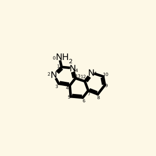 Nc1ncc2ccc3cccnc3c2n1